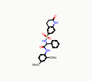 COc1ccc(NC(=O)C(NS(=O)(=O)c2ccc3c(c2)CCC(=O)N3)c2ccccc2)c(OC)c1